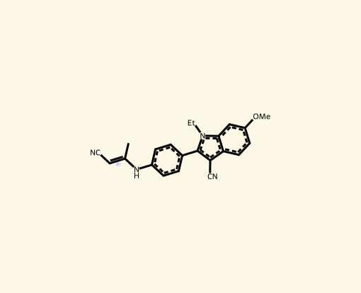 CCn1c(-c2ccc(N/C(C)=C/C#N)cc2)c(C#N)c2ccc(OC)cc21